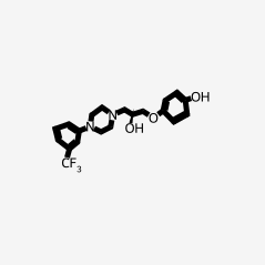 Oc1ccc(OC[C@@H](O)CN2CCN(c3cccc(C(F)(F)F)c3)CC2)cc1